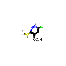 CCSc1nnc(Cl)cc1C(=O)O